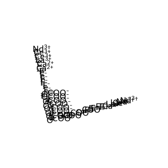 O=C([O-])[O-].O=C([O-])[O-].O=C([O-])[O-].O=C([O-])[O-].O=C([O-])[O-].O=C([O-])[O-].O=C([O-])[O-].O=C([O-])[O-].O=C([O-])[O-].O=C([O-])[O-].O=C([O-])[O-].[Ca+2].[Ca+2].[Ca+2].[Ce+3].[Ce+3].[Ce+3].[F-].[F-].[F-].[F-].[F-].[F-].[F-].[F-].[F-].[F-].[F-].[La+3].[La+3].[La+3].[Nd+3].[Nd+3].[Nd+3]